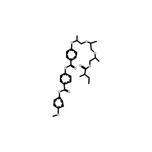 CCC(C)C(=O)OCC(C)OCC(C)OCC(C)Oc1ccc(C(=O)Oc2ccc(C(=O)Oc3ccc(OC)cc3)cc2)cc1